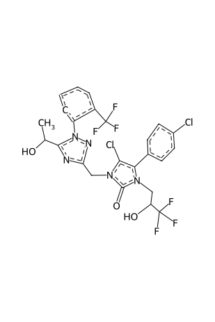 CC(O)c1nc(Cn2c(Cl)c(-c3ccc(Cl)cc3)n(CC(O)C(F)(F)F)c2=O)nn1-c1ccccc1C(F)(F)F